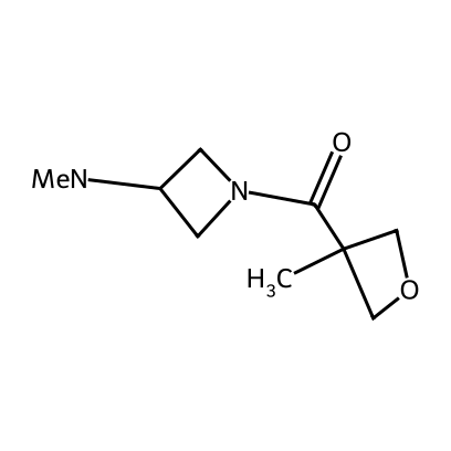 CNC1CN(C(=O)C2(C)COC2)C1